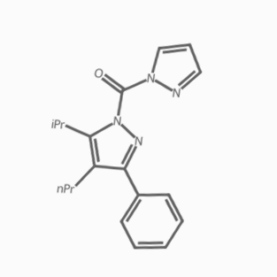 CCCc1c(-c2ccccc2)nn(C(=O)n2cccn2)c1C(C)C